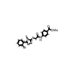 COC(=O)c1ccc(NC(=O)CSc2nnc(-c3ccccc3Br)n2C)cc1